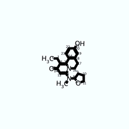 CCc1c2n(c(N(C)C3CCCO3)cc1=O)CCc1cc(O)ccc1-2